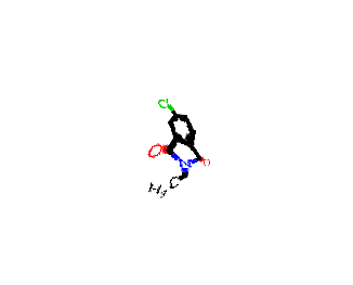 CCN1C(=O)c2ccc(Cl)cc2C1=O